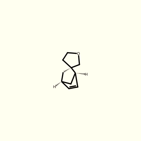 C1=C[C@H]2C[C@@H]1C[C@@]21CCOC1